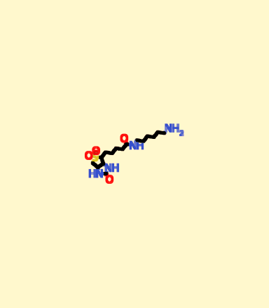 NCCCCCCNC(=O)CCCCC1C2NC(=O)NC2CS1(=O)=O